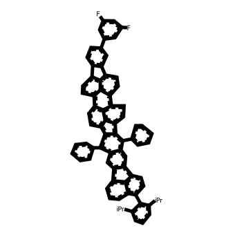 CC(C)c1cccc(C(C)C)c1-c1ccc2c3cc4c(-c5ccccc5)c5c6ccc7c8ccc9c%10c(ccc(c%11ccc(c5c(-c5ccccc5)c4cc3c3cccc1c32)c6c%117)c%108)-c1ccc(-c2cc(F)cc(F)c2)cc1-9